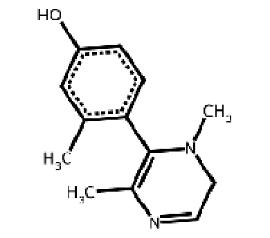 CC1=C(c2ccc(O)cc2C)N(C)CC=N1